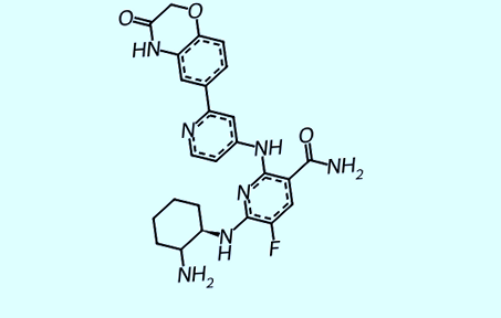 NC(=O)c1cc(F)c(N[C@@H]2CCCCC2N)nc1Nc1ccnc(-c2ccc3c(c2)NC(=O)CO3)c1